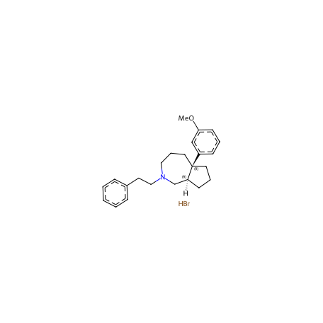 Br.COc1cccc([C@@]23CCC[C@H]2CN(CCc2ccccc2)CCC3)c1